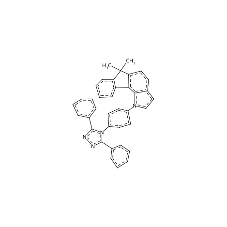 CC1(C)c2ccccc2-c2c1ccc1ccn(-c3ccc(-n4c(-c5ccccc5)nnc4-c4ccccc4)cc3)c21